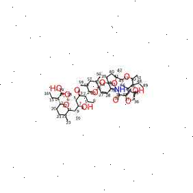 CCC(C(=O)[C@@H](C)[C@@H](O)[C@H](C)[C@@H]1O[C@@H](C(CC)C(=O)O)CC[C@@H]1C)[C@H]1O[C@]2(C=CC(NC(=O)c3ccco3)[C@]3(CC[C@@](C)([C@H]4CC[C@](O)(CC)[C@H](C)O4)O3)O2)[C@H](C)C[C@@H]1C